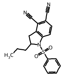 CCCC1Cc2c(ccc(C#N)c2C#N)N1S(=O)(=O)c1ccccc1